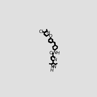 Cc1nc(Oc2cccc(C=C3CCC(NC(=O)c4ccc(-c5c(C)n[nH]c5C)nc4)CC3)c2)ccc1Cl